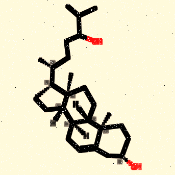 CC(C)C(O)CC[C@@H](C)[C@H]1CC[C@H]2[C@@H]3CC=C4C[C@@H](O)CC[C@]4(C)[C@H]3CC[C@]12C